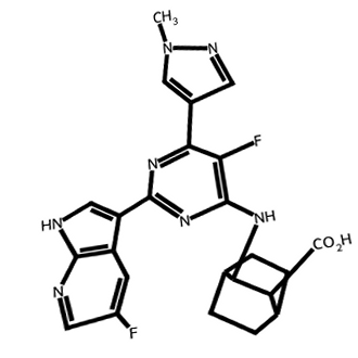 Cn1cc(-c2nc(-c3c[nH]c4ncc(F)cc34)nc(NC3C4CCC(CC4)C3C(=O)O)c2F)cn1